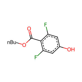 CCCCOC(=O)c1c(F)cc(O)cc1F